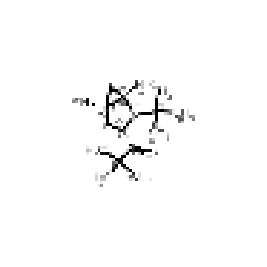 CC(C)(C)C(=O)[C@@H]1C[C@H]2C[C@H]2N1C(C)(C)C